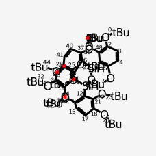 CC(C)(C)Oc1ccc(OC(C)(C)C)c([SiH](O[SiH](c2c(OC(C)(C)C)ccc(OC(C)(C)C)c2OC(C)(C)C)c2c(OC(C)(C)C)ccc(OC(C)(C)C)c2OC(C)(C)C)c2c(OC(C)(C)C)ccc(OC(C)(C)C)c2OC(C)(C)C)c1OC(C)(C)C